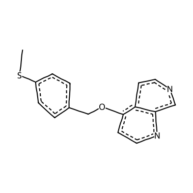 CSc1ccc(COc2ccnc3cnccc23)cc1